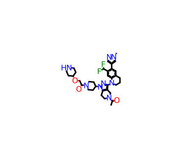 CC(=O)N1CCc2c(c(N3CCCc4cc(-c5cnn(C)c5)c(C(F)F)cc43)nn2C2CCN(C(=O)COC3CCNCC3)CC2)C1